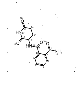 NC(=O)c1ccccc1C(=O)NC1CCC(=O)NC1=O